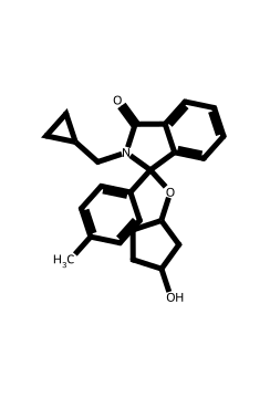 Cc1ccc(C2(OC3CCC(O)C3)c3ccccc3C(=O)N2CC2CC2)cc1